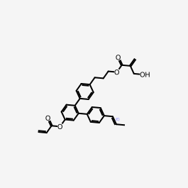 C=CC(=O)Oc1ccc(-c2ccc(CCCOC(=O)C(=C)CO)cc2)c(-c2ccc(/C=C/C)cc2)c1